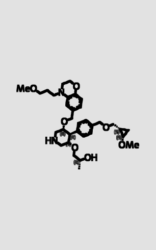 COCCCN1CCOc2ccc(CO[C@H]3CNC[C@@H](OC[C@@H](C)O)[C@@H]3c3ccc(COC[C@@H]4C[C@@H]4OC)cc3)cc21